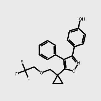 Oc1ccc(-c2noc(C3(COCC(F)(F)F)CC3)c2-c2ccccc2)cc1